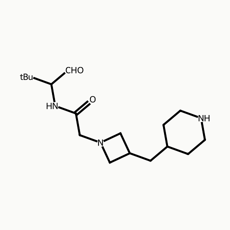 CC(C)(C)C(C=O)NC(=O)CN1CC(CC2CCNCC2)C1